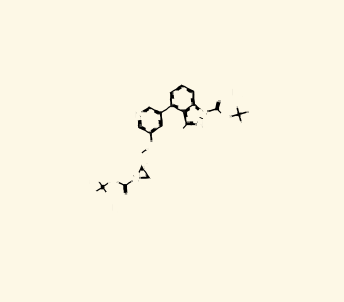 Cc1nn(C(=O)OC(C)(C)C)c2cccc(-c3cncc(OC[C@@H]4CN4C(=O)OC(C)(C)C)c3)c12